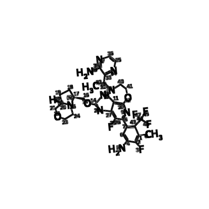 Cc1c(F)c(N)cc(-c2nc3c4c(nc(OC[C@@H]5CC[C@H]6COCCN65)nc4c2F)N([C@H](C)c2nccnc2N)CCO3)c1C(F)(F)F